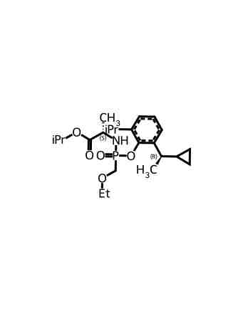 CCOCP(=O)(N[C@@H](C)C(=O)OC(C)C)Oc1c(C(C)C)cccc1[C@H](C)C1CC1